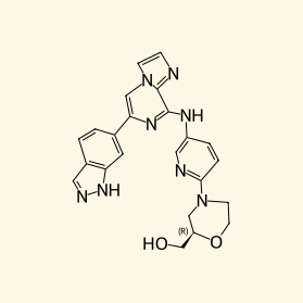 OC[C@H]1CN(c2ccc(Nc3nc(-c4ccc5cn[nH]c5c4)cn4ccnc34)cn2)CCO1